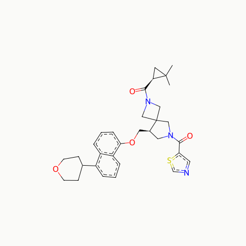 CC1(C)C[C@@H]1C(=O)N1CC2(CN(C(=O)c3cncs3)C[C@H]2COc2cccc3c(C4CCOCC4)cccc23)C1